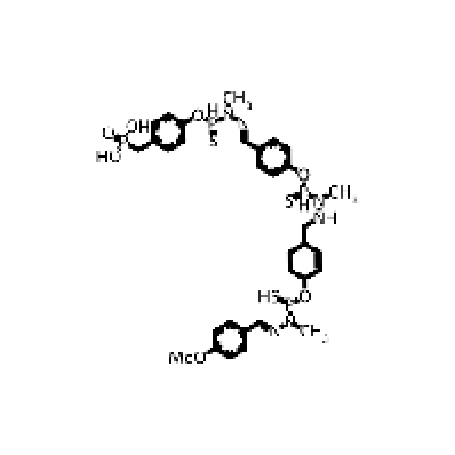 COc1ccc(/C=N/N(C)P(S)OC2C=CC(CNN(C)[PH](=S)Oc3ccc(/C=N/N(C)[PH](=S)Oc4ccc(CP(=O)(O)O)cc4)cc3)CC2)cc1